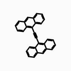 C(#Cc1c2ccccc2cc2ccccc12)c1c2ccccc2cc2ccccc12